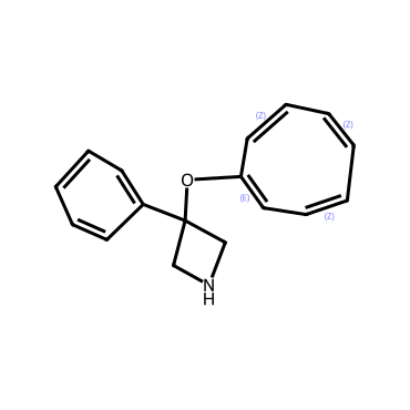 C1=C\C=C/C(OC2(c3ccccc3)CNC2)=C\C=C/1